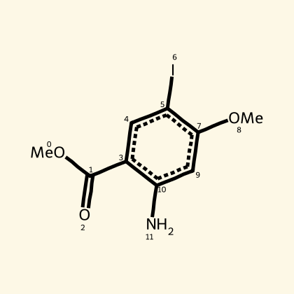 COC(=O)c1cc(I)c(OC)cc1N